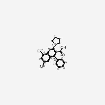 O=C(O)c1c(N2CCCC2)nc2c(Cl)cc(Cl)cc2c1-c1ccccc1